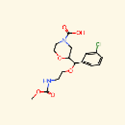 COC(=O)NCCOC(c1cccc(Cl)c1)C1CN(C(=O)O)CCO1